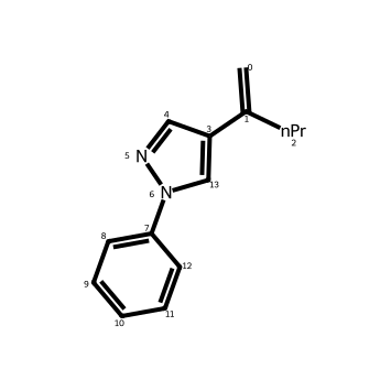 C=C(CCC)c1cnn(-c2ccccc2)c1